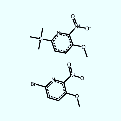 COc1ccc(Br)nc1[N+](=O)[O-].COc1ccc([Si](C)(C)C)nc1[N+](=O)[O-]